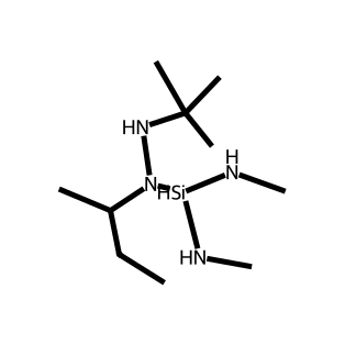 CCC(C)N(NC(C)(C)C)[SiH](NC)NC